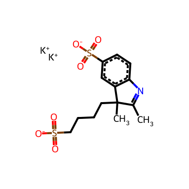 CC1=Nc2ccc(S(=O)(=O)[O-])cc2C1(C)CCCCS(=O)(=O)[O-].[K+].[K+]